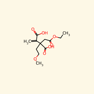 C=C(C(=O)O)C(CCOC)(CC(=O)OCC)C(=O)O